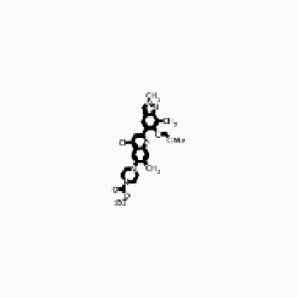 COCOc1c(-c2cc(Cl)c3cc(N4CCN(C(=O)OC(C)(C)C)CC4)c(C)cc3n2)cc2cn(C)nc2c1C